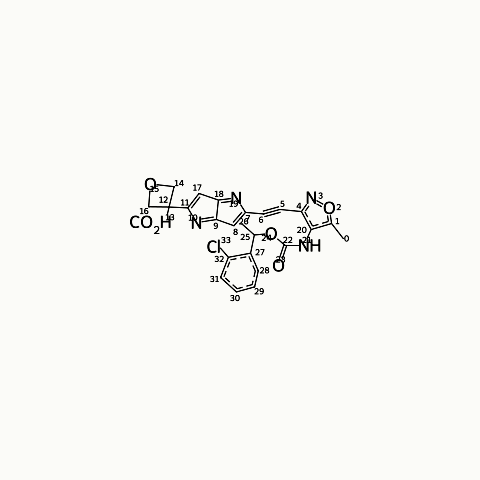 Cc1onc(C#CC2=CC3=NC(C4(C(=O)O)COC4)=CC3=N2)c1NC(=O)OC(C)c1ccccc1Cl